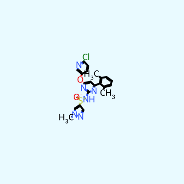 Cc1cccc(C)c1-c1cc(Oc2ccc(Cl)nc2)nc(N[S+]([O-])c2cnn(C)c2)n1